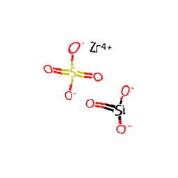 O=S(=O)([O-])[O-].O=[Si]([O-])[O-].[Zr+4]